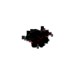 Cc1cc(C)c(B2C=CC(C)(C(C)(C)C)N3c4ccc(C(C)(C)C)cc4B(c4c(C)cc(C)cc4C)c4cc(-n5c6c(N(c7ccccc7)c7ccccc7)cccc6c6cccc(N(c7ccccc7)c7ccccc7)c65)cc2c43)c(C)c1